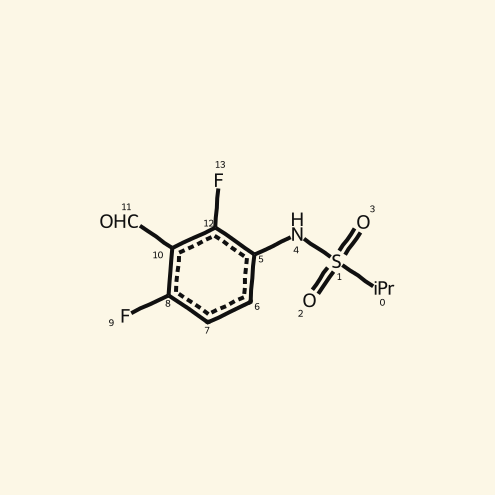 CC(C)S(=O)(=O)Nc1ccc(F)c(C=O)c1F